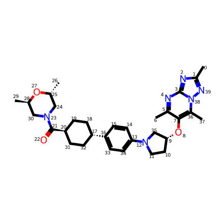 Cc1nc2nc(C)c(O[C@@H]3CCN(c4ccc([C@H]5CC[C@H](C(=O)N6C[C@@H](C)O[C@H](C)C6)CC5)cc4)C3)c(C)n2n1